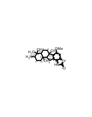 COc1cc2oc(=O)[nH]c2c2c1C1(C)CCC3C(C)(C)C(N)CCC3(C)C1C2